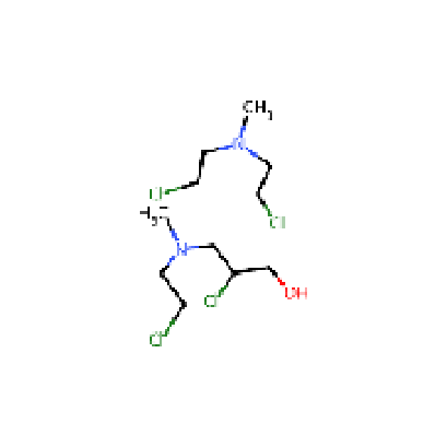 CN(CCCl)CC(Cl)CO.CN(CCCl)CCCl